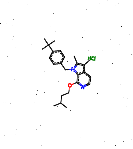 Cc1c(C)n(Cc2ccc(C(C)(C)C)cc2)c2c(OCCC(C)C)nccc12.Cl